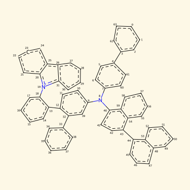 c1ccc(-c2ccc(N(c3ccc(-c4ccccc4-n4c5ccccc5c5ccccc54)c(-c4ccccc4)c3)c3ccc(-c4cccc5ccccc45)c4ccccc34)cc2)cc1